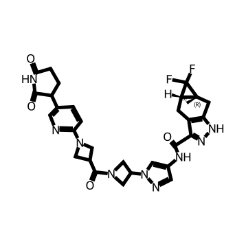 C[C@@]12Cc3[nH]nc(C(=O)Nc4cnn(C5CN(C(=O)C6CN(c7ccc(C8CCC(=O)NC8=O)cn7)C6)C5)c4)c3C[C@@H]1C2(F)F